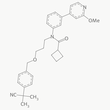 COc1cc(-c2cccc(N(CCCOCc3ccc(C(C)(C)C#N)cc3)C(=O)C3CCC3)c2)ccn1